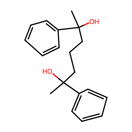 CC(O)(CCCC(C)(O)c1ccccc1)c1ccccc1